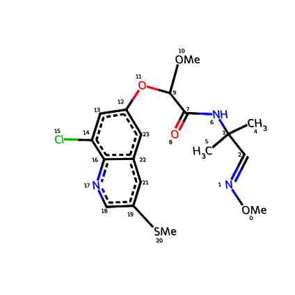 CON=CC(C)(C)NC(=O)C(OC)Oc1cc(Cl)c2ncc(SC)cc2c1